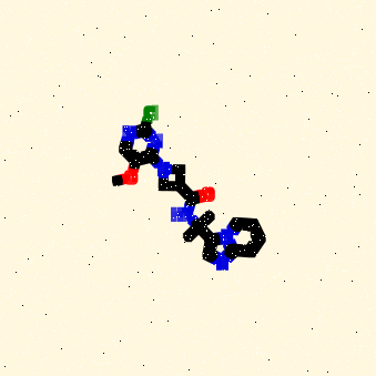 COc1cnc(Cl)nc1N1CC(C(=O)NC(C)(C)c2cnc3ccccn23)C1